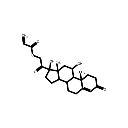 C=CC(=O)OCC(=O)C1(O)CCC2C3CCC4=CC(=O)CCC4(C)C3C(O)CC21C